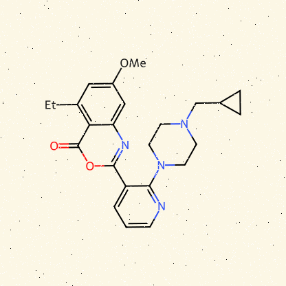 CCc1cc(OC)cc2nc(-c3cccnc3N3CCN(CC4CC4)CC3)oc(=O)c12